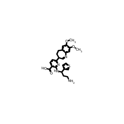 COc1cc2c(cc1OC)N=CC(c1ccc(C(=O)O)c(NC(CCN)c3ccsc3)n1)CC2